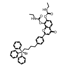 CCNC(=O)Oc1ccc2c(=O)cc(-c3ccc(CCCCP(Br)(c4ccccc4)(c4ccccc4)c4ccccc4)cc3)oc2c1OC(=O)NCC